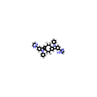 Cc1c2cc3c4cc(-c5ncccn5)ccc4n(-c4ccccc4)c3c1C(C)C(C)c1cc(c3c(c1)c1cc(-c4ncc[nH]4)ccc1n3-c1ccccc1)C(C)C2C